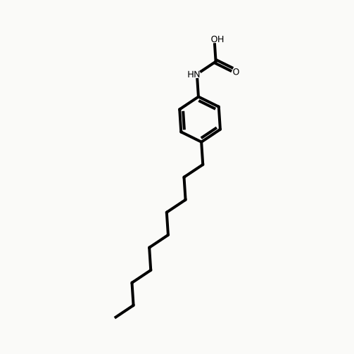 CCCCCCCCCCc1ccc(NC(=O)O)cc1